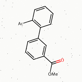 COC(=O)c1cccc(-c2[c]cccc2C(C)=O)c1